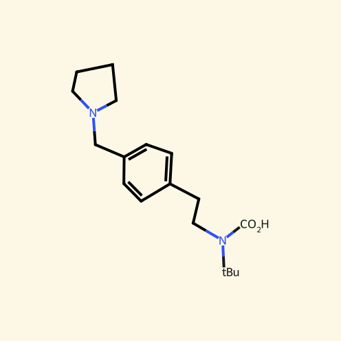 CC(C)(C)N(CCc1ccc(CN2CCCC2)cc1)C(=O)O